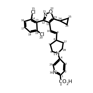 O=C(O)c1ccc(N2CCC(C=Cc3c(-c4c(Cl)cccc4Cl)noc3C3CC3)CC2)cn1